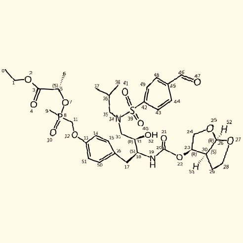 CCOC(=O)[C@H](C)OP(C)(=O)COc1ccc(C[C@H](NC(=O)O[C@H]2CO[C@H]3OCC[C@H]32)[C@H](O)CN(CC(C)C)S(=O)(=O)c2ccc(C=O)cc2)cc1